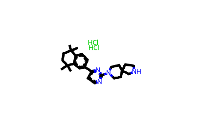 CC1(C)CCC(C)(C)c2cc(-c3ccnc(N4CCC5(CCNC5)CC4)n3)ccc21.Cl.Cl